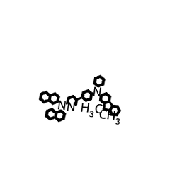 CC1(C)c2ccccc2-c2ccc(N(c3ccccc3)c3ccc(-c4ccc(N(c5ccc6ccccc6c5)c5cccc6ccccc56)nc4)cc3)cc21